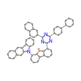 c1ccc(-c2ccc(-c3nc(-c4ccc5ccccc5c4)nc(-c4cccc5c4sc4c(-n6c7ccccc7c7cc8ccccc8cc76)cccc45)n3)cc2)cc1